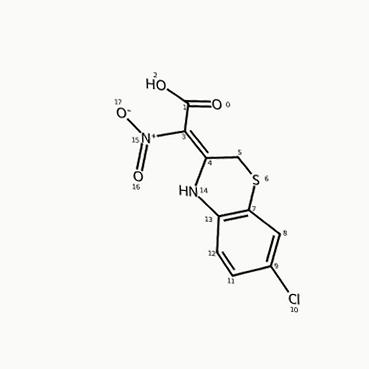 O=C(O)C(=C1CSc2cc(Cl)ccc2N1)[N+](=O)[O-]